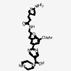 COc1cc(-c2ncc(C(O)N3CCNCC3)cn2)cc2cc(CNC(=O)/C=C/c3ccc(N)nc3)oc12